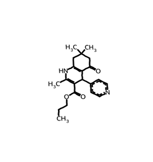 CCCOC(=O)C1=C(C)NC2=C(C(=O)CC(C)(C)C2)C1c1ccncc1